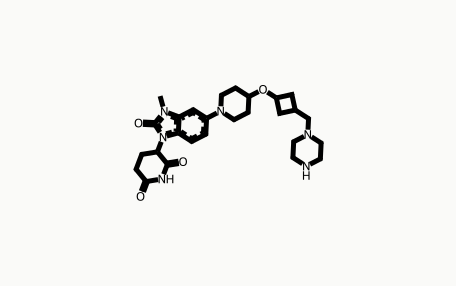 Cn1c(=O)n(C2CCC(=O)NC2=O)c2ccc(N3CCC(OC4CC(CN5CCNCC5)C4)CC3)cc21